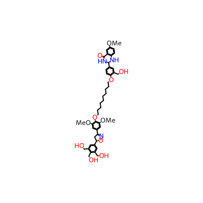 COc1ccc2c(c1)C(=O)NC(c1ccc(OCCCCCCCCCCOc3c(OC)cc(C4=NOC(c5cc(CO)c(CO)c(CO)c5)C4)cc3OC)c(CO)c1)N2